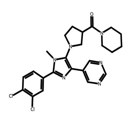 Cn1c(-c2ccc(Cl)c(Cl)c2)nc(-c2cncnc2)c1N1CCC(C(=O)N2CCCCC2)C1